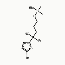 CC(C)C(C#N)(CCCO[Si](C)(C)C(C)(C)C)c1ccc(Br)s1